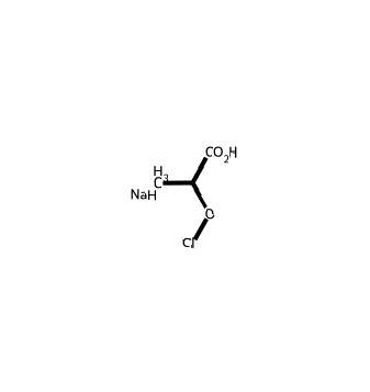 CC(OCl)C(=O)O.[NaH]